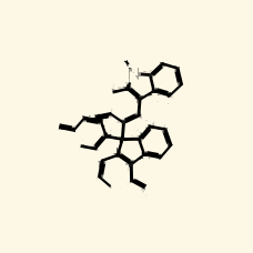 C=C/C=C\C(=C/C)C1(/C(C=C)=C/c2c(C)n(C)c3ccccc23)C(/C=C\C)=C(C=C)c2ccccc21